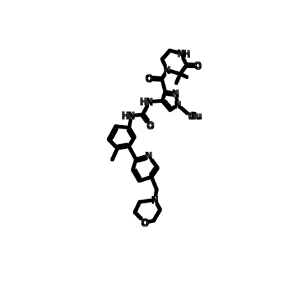 Cc1ccc(NC(=O)Nc2cn(C(C)(C)C)nc2C(=O)N2CCNC(=O)C2(C)C)cc1-c1ccc(CN2CCOCC2)cn1